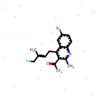 C/C(=C\Cc1c(C(=O)C(F)(F)F)c(C)nc2ccc(Br)cc12)CF